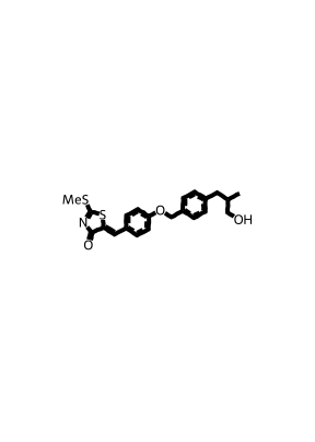 CSC1=NC(=O)C(=Cc2ccc(OCc3ccc(CC(C)CO)cc3)cc2)S1